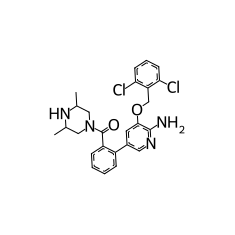 CC1CN(C(=O)c2ccccc2-c2cnc(N)c(OCc3c(Cl)cccc3Cl)c2)CC(C)N1